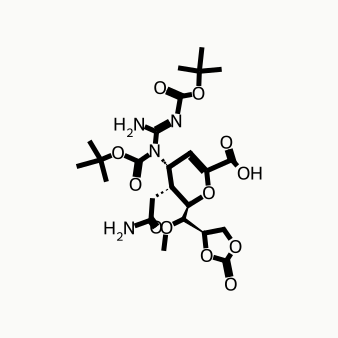 COC([C@H]1COC(=O)O1)[C@@H]1OC(C(=O)O)=C[C@@H](N(C(=O)OC(C)(C)C)C(N)=NC(=O)OC(C)(C)C)[C@H]1CC(N)=O